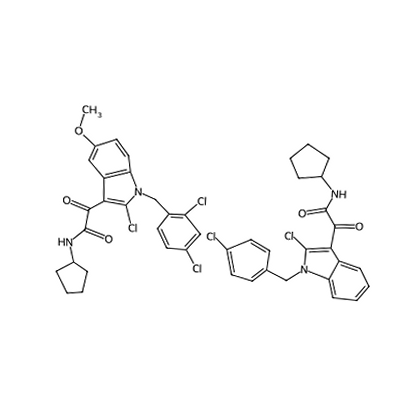 COc1ccc2c(c1)c(C(=O)C(=O)NC1CCCC1)c(Cl)n2Cc1ccc(Cl)cc1Cl.O=C(NC1CCCC1)C(=O)c1c(Cl)n(Cc2ccc(Cl)cc2)c2ccccc12